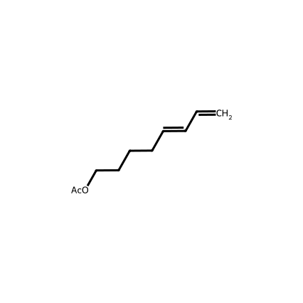 C=CC=CCCCCOC(C)=O